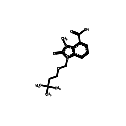 Cn1c(=O)n(COCC[Si](C)(C)C)c2cccc(C(=O)O)c21